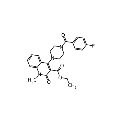 CCOC(=O)c1c(N2CCN(C(=O)c3ccc(F)cc3)CC2)c2ccccc2n(C)c1=O